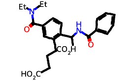 CCN(CC)C(=O)c1ccc(C(NC(=O)c2ccccc2)C(=O)O)c(CCCC(=O)O)c1